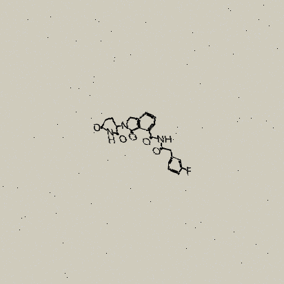 O=C(Cc1cccc(F)c1)NC(=O)c1cccc2c1C(=O)N(C1CCC(=O)NC1=O)C2